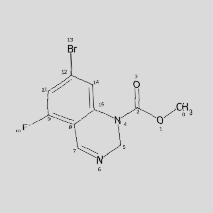 COC(=O)N1CN=Cc2c(F)cc(Br)cc21